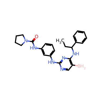 Bc1cnc(Nc2cccc(NC(=O)N3CCCC3)c2)nc1NC(CC)c1ccccc1